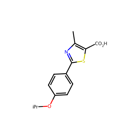 Cc1nc(-c2ccc(OC(C)C)cc2)sc1C(=O)O